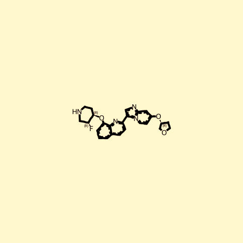 F[C@@H]1CNCC[C@H]1Oc1cccc2ccc(-c3cnc4cc(O[C@@H]5CCOC5)ccn34)nc12